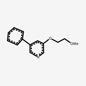 COCCOc1cncc(-c2c[c]ccc2)c1